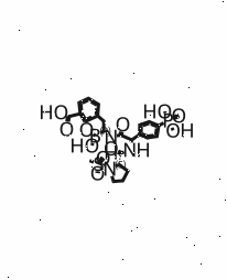 CS(=O)(=O)N1CCC[C@H]1C(=O)NC(C(=O)N[C@H]1Cc2cccc(C(=O)O)c2OB1O)c1ccc(P(=O)(O)O)cc1